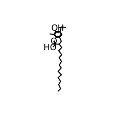 CCCCCCCCCCCCCCC(Cc1cc(C)c(O)c(CC)c1)C(=O)O